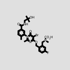 Cc1ccc(C(=O)NCC(C)(C)O)cc1-n1c(C)nc(OCc2ccc(F)cc2CN(C)C(=O)O)c(Br)c1=O